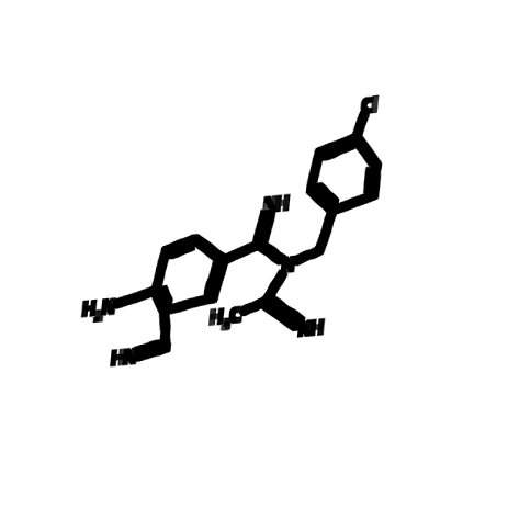 CC(=N)N(Cc1ccc(Cl)cc1)C(=N)c1ccc(N)c(C=N)c1